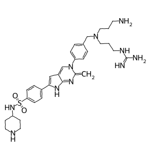 C=C1N=c2[nH]c(-c3ccc(S(=O)(=O)NC4CCNCC4)cc3)cc2=CN1c1ccc(CN(CCCN)CCCNC(=N)N)cc1